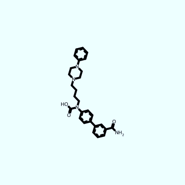 NC(=O)c1cccc(-c2ccc(N(CCCCN3CCN(c4ccccc4)CC3)C(=O)O)cc2)c1